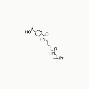 CB(O)c1ccc(C(=O)NCCCCC(=O)NCC(C)(C)C(C)C)cc1